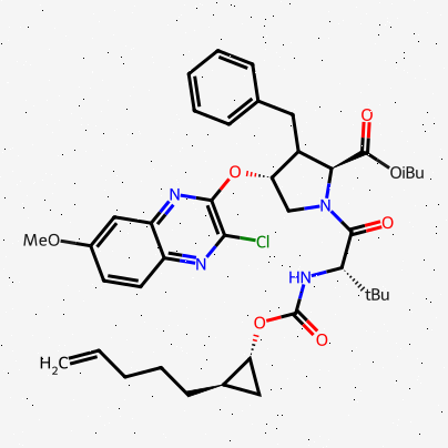 C=CCCC[C@@H]1C[C@H]1OC(=O)N[C@H](C(=O)N1C[C@H](Oc2nc3cc(OC)ccc3nc2Cl)C(Cc2ccccc2)[C@H]1C(=O)OCC(C)C)C(C)(C)C